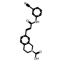 N#Cc1cccc(NC(=O)C=Cc2ccc3c(c2)CN(C(=O)O)CC3)c1